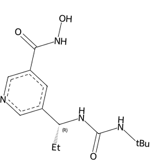 CC[C@@H](NC(=O)NC(C)(C)C)c1cncc(C(=O)NO)c1